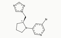 Brc1cncc(N2CCC[C@H]2Cn2cncn2)c1